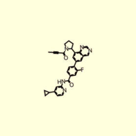 CC#CC(=O)N1CCCC1c1cc(-c2ccc(C(=O)Nc3cc(C4CC4)ccn3)cc2F)cc2cncnc12